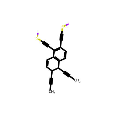 CC#CC1C=Cc2c(ccc(C#CSI)c2C#CSI)C1C#CC